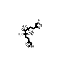 CC(C)(CCc1c[nH]nn1)C(=O)C(C)(C)CCc1c[nH]nn1